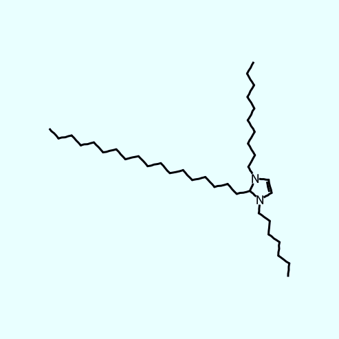 CCCCCCCCCCCCCCCCCCC1N(CCCCCCC)C=CN1CCCCCCCCCC